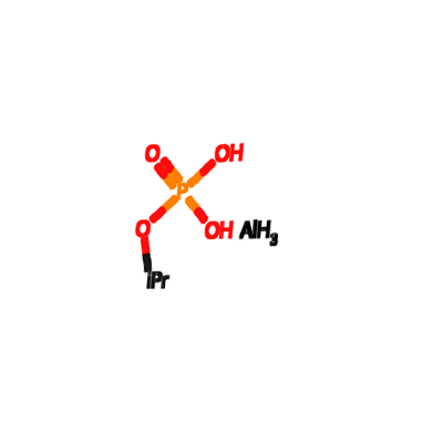 CC(C)OP(=O)(O)O.[AlH3]